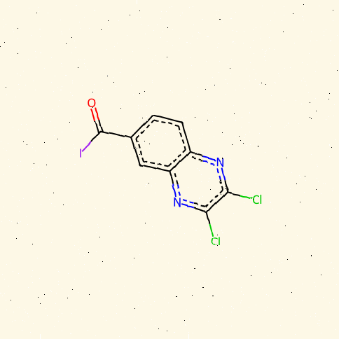 O=C(I)c1ccc2nc(Cl)c(Cl)nc2c1